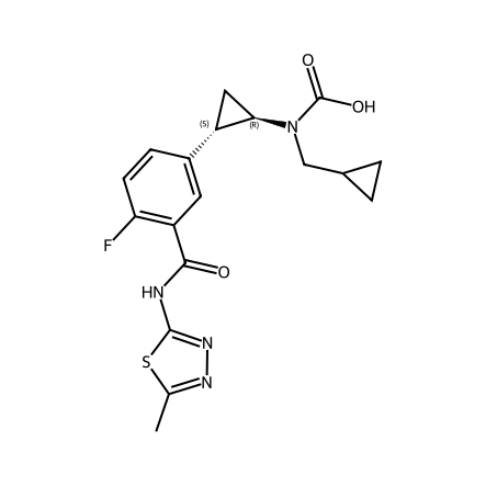 Cc1nnc(NC(=O)c2cc([C@@H]3C[C@H]3N(CC3CC3)C(=O)O)ccc2F)s1